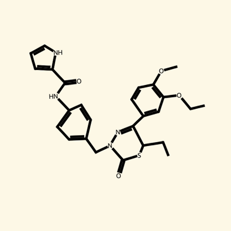 CCOc1cc(C2=NN(Cc3ccc(NC(=O)c4ccc[nH]4)cc3)C(=O)SC2CC)ccc1OC